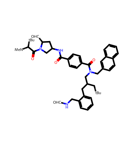 CNC(C(=O)N1CC(NC(=O)c2ccc(C(=O)N(Cc3ccc4ccccc4c3)CC(Cc3ccccc3CNC=O)CC(C)(C)C)cc2)CC1C=O)C(C)(C)C